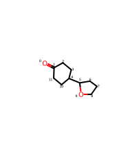 O=C1CCC(C2CCCO2)CC1